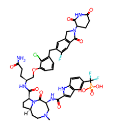 CN1CC[C@H]2CC[C@@H](C(=O)N[C@@H](CCC(N)=O)COc3cccc(Cc4cc5c(cc4F)C(=O)N(C4CCC(=O)NC4=O)C5)c3Cl)N2C(=O)[C@@H](NC(=O)c2cc3cc(C(F)(F)P(=O)(O)O)ccc3[nH]2)C1